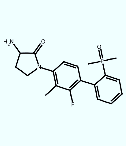 Cc1c(N2CCC(N)C2=O)ccc(-c2ccccc2P(C)(C)=O)c1F